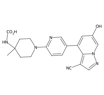 CC1(NC(=O)O)CCN(c2ccc(-c3cc(O)cn4ncc(C#N)c34)cn2)CC1